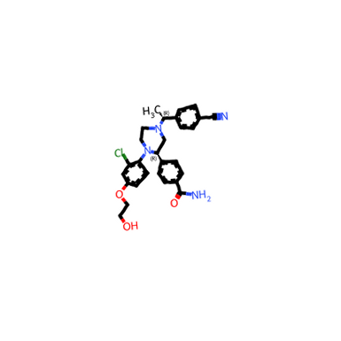 C[C@H](c1ccc(C#N)cc1)N1CCN(c2ccc(OCCO)cc2Cl)[C@H](c2ccc(C(N)=O)cc2)C1